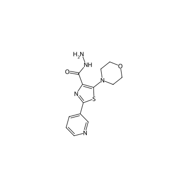 NNC(=O)c1nc(-c2cccnc2)sc1N1CCOCC1